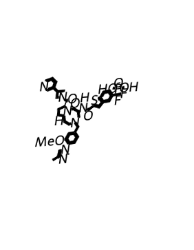 COc1cc(CN2CC[C@H]3CC[C@@H](C(=O)N4CC(c5cccnc5)C4)N3C(=O)[C@@H](NC(=O)c3cc4cc(C(F)(F)P(=O)(O)O)ccc4s3)C2)ccc1-n1cnc(C)c1